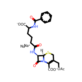 CC(=O)OCC1=C(C(=O)[O-])N2C(=O)[C@@H](NC(=O)CCCC(NC(=O)c3ccccc3)C(=O)[O-])[C@H]2SC1.[Na+].[Na+]